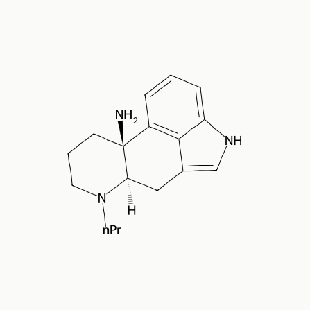 CCCN1CCC[C@]2(N)c3cccc4[nH]cc(c34)C[C@@H]12